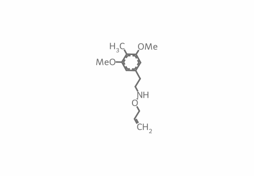 C=CCONCCc1cc(OC)c(C)c(OC)c1